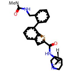 CNC(=O)NCc1ccccc1-c1cccc2cc(C(=O)N[C@H]3CN4CCC3CC4)sc12